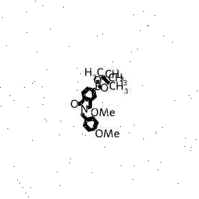 COc1ccc(CN2Cc3cc(B4OC(C)(C)C(C)(C)O4)ccc3C2=O)c(OC)c1